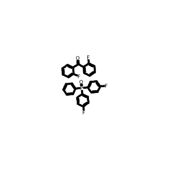 O=C(c1ccccc1F)c1ccccc1F.O=P(c1ccccc1)(c1ccc(F)cc1)c1ccc(F)cc1